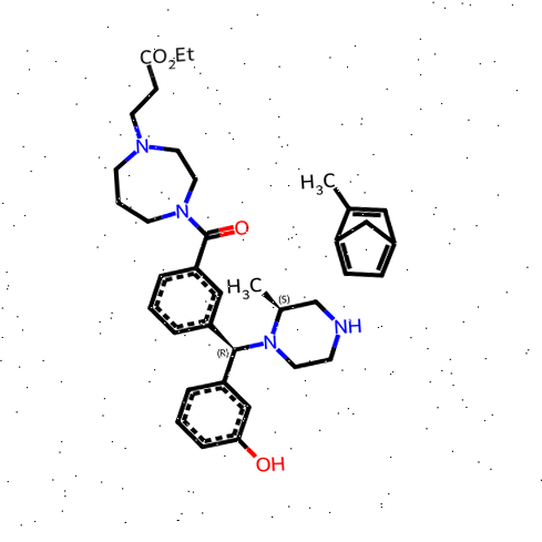 CC1=CC2=CC=C1C2.CCOC(=O)CCN1CCCN(C(=O)c2cccc([C@H](c3cccc(O)c3)N3CCNC[C@@H]3C)c2)CC1